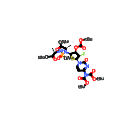 COC(=O)[C@H](C)NP(=O)(OC)N([C@@H]1S[C@@H](n2ccc(N(C(=O)OC(C)(C)C)C(=O)OC(C)(C)C)nc2=O)[C@@H](F)[C@@H]1OC(=O)OC(C)(C)C)[C@@H](C)C(=O)OC